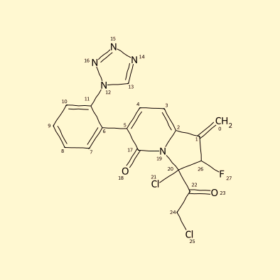 C=C1c2ccc(-c3ccccc3-n3cnnn3)c(=O)n2C(Cl)(C(=O)CCl)C1F